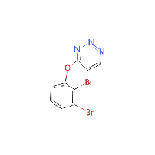 Brc1cccc(Oc2ccnnn2)c1Br